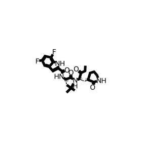 CCC(=O)[C@H](C[C@@H]1CCCNC1=O)NC(=O)[C@H](CC(C)(C)C)NC(=O)c1cc2cc(F)cc(F)c2[nH]1